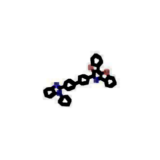 c1ccc(-n2c(-c3ccc(-c4ccc(-c5nc6c7ccccc7oc6c6c5oc5ccccc56)cc4)cc3)nc3ccccc32)cc1